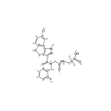 Cn1nc(C(=O)N(CC(=O)NCC(C)(C)C(=O)O)Cc2ccccc2F)c2c1-c1cc(Cl)ccc1OC2